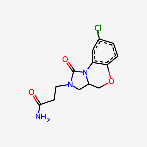 NC(=O)CCN1CC2COc3ccc(Cl)cc3N2C1=O